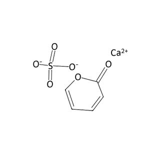 O=S(=O)([O-])[O-].O=c1cccco1.[Ca+2]